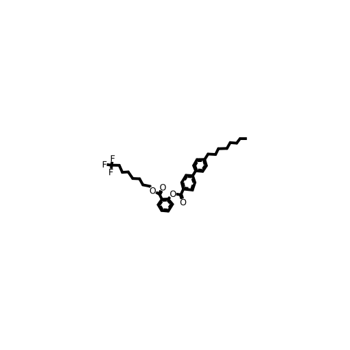 CCCCCCCCc1ccc(-c2ccc(C(=O)Oc3ccccc3C(=O)OCCCCCCCC(F)(F)F)cc2)cc1